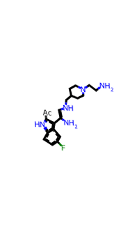 CC(=O)c1[nH]c2ccc(F)cc2c1/C(N)=C/NCC1CCN(CCN)CC1